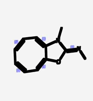 C/N=c1\oc2/c(n1C)=C\C=C/C=C\C=2